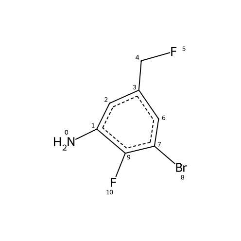 Nc1cc(CF)cc(Br)c1F